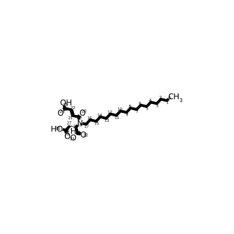 CCCCCCCCCCCCCCCCCCN(C(=O)C=CC(=O)O)[C@@H](CC(=O)O)C(=O)O